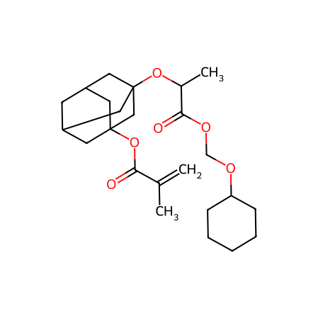 C=C(C)C(=O)OC12CC3CC(C1)CC(OC(C)C(=O)OCOC1CCCCC1)(C3)C2